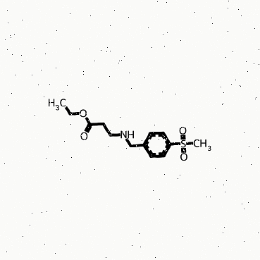 CCOC(=O)CCNCc1ccc(S(C)(=O)=O)cc1